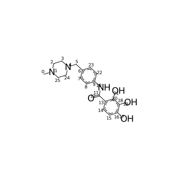 CN1CCN(Cc2ccc(NC(=O)c3ccc(O)c(O)c3O)cc2)CC1